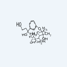 CC(O)(CCO)c1cccc(OC(C)(C)C(C)(O)CC(O)C(C)(C)CO)c1